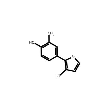 Cc1cc(-c2[se]ccc2Cl)ccc1O